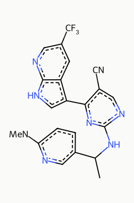 CNc1ccc(C(C)Nc2ncc(C#N)c(-c3c[nH]c4ncc(C(F)(F)F)cc34)n2)cn1